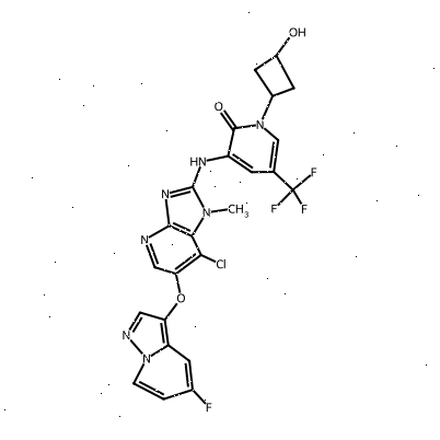 Cn1c(Nc2cc(C(F)(F)F)cn(C3CC(O)C3)c2=O)nc2ncc(Oc3cnn4ccc(F)cc34)c(Cl)c21